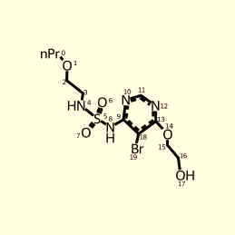 CCCOCCNS(=O)(=O)Nc1ncnc(OCCO)c1Br